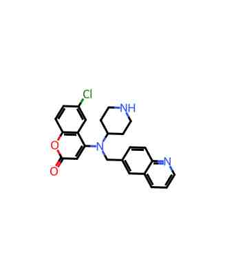 O=c1cc(N(Cc2ccc3ncccc3c2)C2CCNCC2)c2cc(Cl)ccc2o1